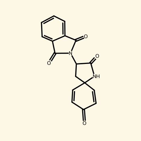 O=C1C=CC2(C=C1)CC(N1C(=O)c3ccccc3C1=O)C(=O)N2